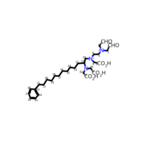 O=CCN(CC=O)CCN(CC(=O)O)CC(CCCCCCCCCCCc1ccccc1)N(CC(=O)O)CC(=O)O